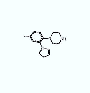 Cc1ccc(N2CCNCC2)c(N2C=CCC2)c1